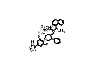 C[C@H](c1cccc2ccccc12)N(CC1CCN(c2c(F)cc(-c3nnn[nH]3)cc2F)CC1c1ccccc1)C(=O)OC(C)(C)C